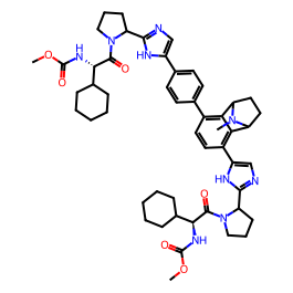 COC(=O)N[C@H](C(=O)N1CCCC1c1ncc(-c2ccc(-c3ccc(-c4cnc(C5CCCN5C(=O)[C@@H](NC(=O)OC)C5CCCCC5)[nH]4)c4c3C3CCC4N3C)cc2)[nH]1)C1CCCCC1